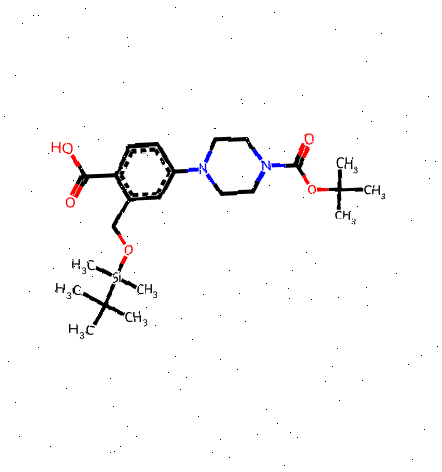 CC(C)(C)OC(=O)N1CCN(c2ccc(C(=O)O)c(CO[Si](C)(C)C(C)(C)C)c2)CC1